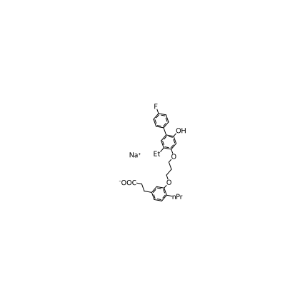 CCCc1ccc(CCC(=O)[O-])cc1OCCCOc1cc(O)c(-c2ccc(F)cc2)cc1CC.[Na+]